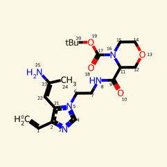 C=Cc1ncn(CCNC(=O)C2COCCN2C(=O)OC(C)(C)C)c1/C=C(\C)N